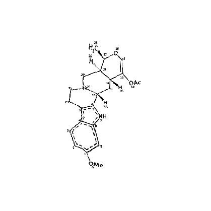 COc1ccc2c3c([nH]c2c1)[C@H]1C[C@H]2C(OC(C)=O)=CO[C@H](C)[C@@H]2CN1CC3